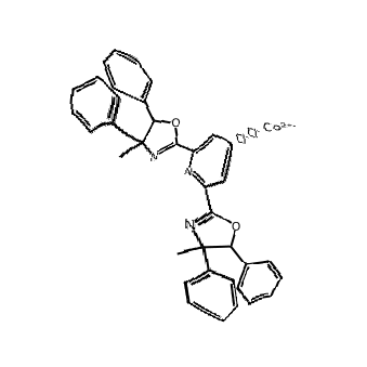 CC1(c2ccccc2)N=C(c2cccc(C3=NC(C)(c4ccccc4)C(c4ccccc4)O3)n2)OC1c1ccccc1.[Cl-].[Cl-].[Co+2]